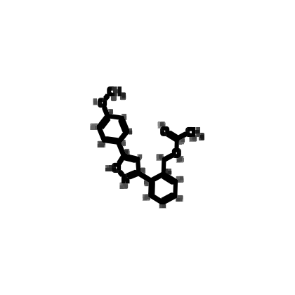 COc1ccc(-c2cc(-c3ccccc3COC(C)=O)no2)cc1